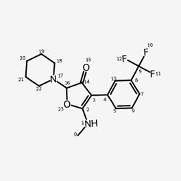 CNC1=C(c2cccc(C(F)(F)F)c2)C(=O)C(N2CCCCC2)O1